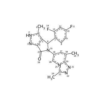 Cc1[nH]nc2c1C(c1ccc(F)cc1F)N(c1cc(C)c3nnc(C)n3c1)C2=O